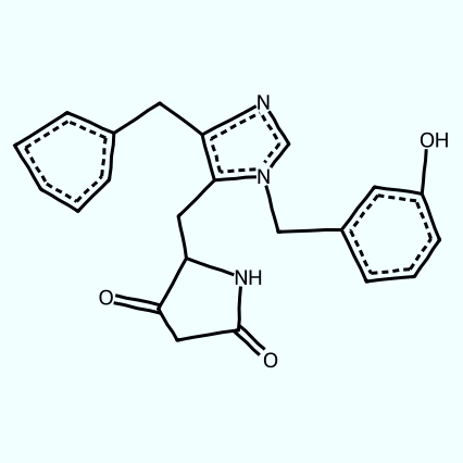 O=C1CC(=O)C(Cc2c(Cc3ccccc3)ncn2Cc2cccc(O)c2)N1